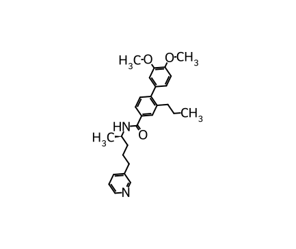 CCCc1cc(C(=O)N[C@H](C)CCCc2cccnc2)ccc1-c1ccc(OC)c(OC)c1